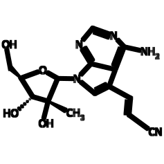 C[C@]1(O)C(n2cc(C=CC#N)c3c(N)ncnc32)O[C@H](CO)[C@H]1O